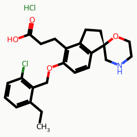 CCc1cccc(Cl)c1COc1ccc2c(c1CCC(=O)O)CC[C@@]21CNCCO1.Cl